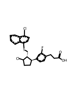 O=C(O)CCc1ccc([C@H]2CCC(Cl)[C@@H]2CSc2ccc(Cl)c3ccccc23)cc1F